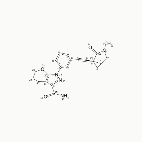 CN1CC2C[C@]2(C#Cc2cccc(-n3nc(C(N)=O)c4c3OCCC4)c2)C1=O